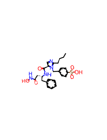 CCCCc1ncc(C(=O)N[C@@H](CC(=O)NO)Cc2ccccc2)n1Cc1ccc(S(=O)(=O)O)cc1